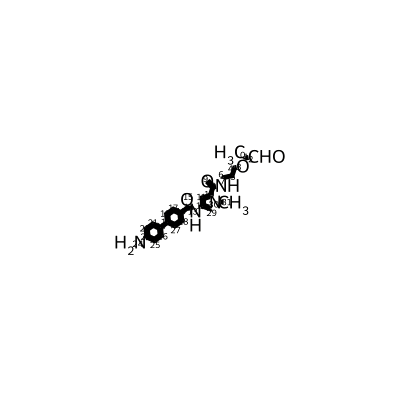 CC(C=O)OCCCNC(=O)c1cc(NC(=O)c2ccc(-c3ccc(N)cc3)cc2)cn1C